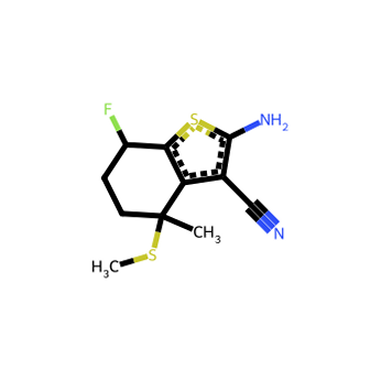 CSC1(C)CCC(F)c2sc(N)c(C#N)c21